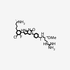 COC[C@H](CCNC(=N)N)N[C@@H](C)c1ccc(-n2cc3cc(-c4cc(CCC[C@H](C)N)cc(Cl)c4F)[nH]c3nc2=O)cc1